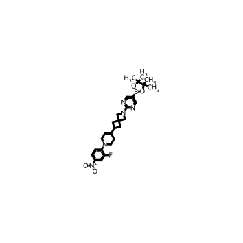 CC1(C)OB(c2cnc(N3CC4(CC(C5CCN(c6ccc([N+](=O)[O-])cc6F)CC5)C4)C3)nc2)OC1(C)C